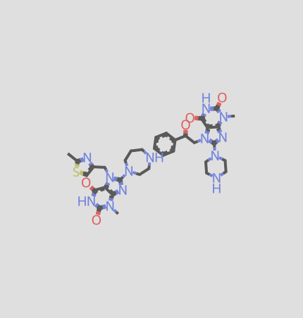 Cc1nc(Cn2c(N3CCCNCC3)nc3c2c(=O)[nH]c(=O)n3C)cs1.Cn1c(=O)[nH]c(=O)c2c1nc(N1CCNCC1)n2CC(=O)c1ccccc1